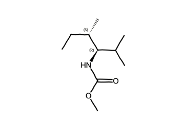 CC[C@H](C)[C@H](NC(=O)OC)C(C)C